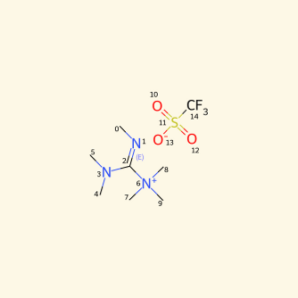 C/N=C(\N(C)C)[N+](C)(C)C.O=S(=O)([O-])C(F)(F)F